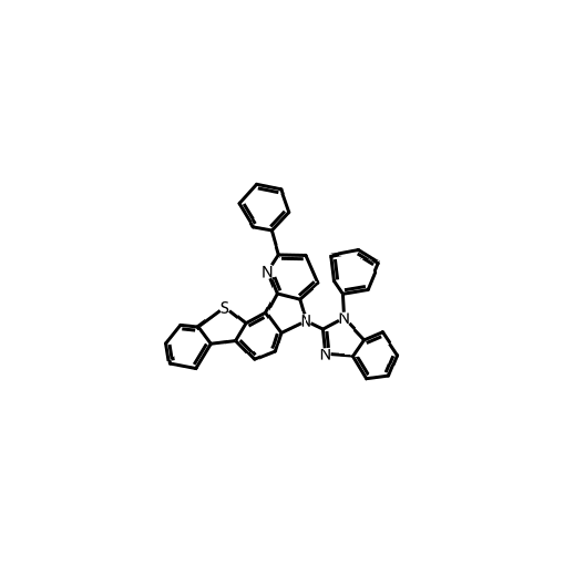 c1ccc(-c2ccc3c(n2)c2c4sc5ccccc5c4ccc2n3-c2nc3ccccc3n2-c2ccccc2)cc1